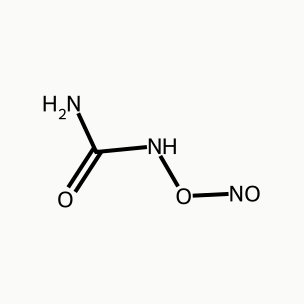 NC(=O)NON=O